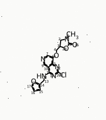 CN1CC(COc2cncc3c(NCc4ccco4)nc(Cl)nc23)OC1=O